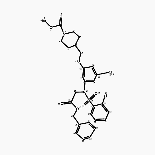 CC(C)(C)OC(=O)N1CCC(COc2cc(N(CC(=O)OCc3ccccc3)S(=O)(=O)c3ccccc3Cl)cc(C(F)(F)F)c2)CC1